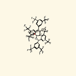 CN(C(=O)[C@@H](OP(c1cc(C(F)(F)F)cc(C(F)(F)F)c1)c1cc(C(F)(F)F)cc(C(F)(F)F)c1)C(C)(C)C)P(c1cc(C(F)(F)F)cc(C(F)(F)F)c1)c1cc(C(F)(F)F)cc(C(F)(F)F)c1